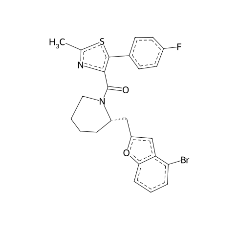 Cc1nc(C(=O)N2CCCC[C@H]2Cc2cc3c(Br)cccc3o2)c(-c2ccc(F)cc2)s1